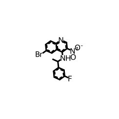 CC(Nc1c([N+](=O)[O-])cnc2ccc(Br)cc12)c1cccc(F)c1